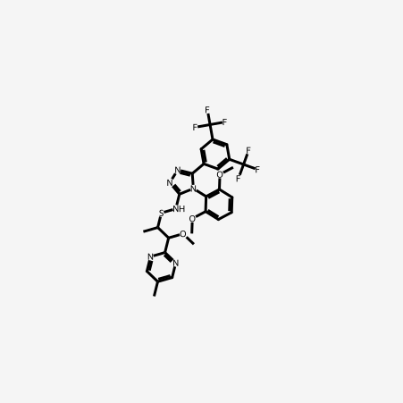 COc1cccc(OC)c1-n1c(NSC(C)C(OC)c2ncc(C)cn2)nnc1-c1cc(C(F)(F)F)cc(C(F)(F)F)c1